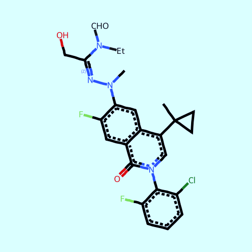 CCN(C=O)/C(CO)=N\N(C)c1cc2c(C3(C)CC3)cn(-c3c(F)cccc3Cl)c(=O)c2cc1F